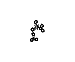 c1ccc(-c2nc(-c3cccc(-c4ccc(-n5c6ccccc6c6ccccc65)cc4)c3)nc(-c3cc4ccccc4c4ccccc34)n2)cc1